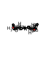 CC(C)(C)[C@H](NC(=O)[C@](C)(OC(=O)N1CCCC1)C1(C)CC1)c1nc2ccc(-c3cnc(-c4ccc5nc([C@@H](N6C(=O)[C@]6(OC(=O)N6CCCC6)C6(C)CC6)C(C)(C)C)[nH]c5c4)cn3)cc2[nH]1